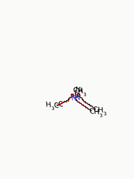 CCCCCCCCCCCCC#CCCc1ccccc1/N=C(C#CCCCCCCCCCCCCCC)\C(CCCCCC)=N\c1ccccc1CCC#CCCCCCCCCCCCC.[Ni]